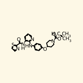 CC(C)(C)OC(=O)N1CCC(Oc2ccc(Nc3ncccc3NC(=O)c3nccs3)cc2)CC1